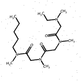 CCCCCN(C)C(=O)CN(C)C(=O)CN(C)C(=O)CN(C)CC